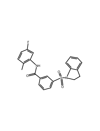 Cc1ccc(F)cc1NC(=O)c1cccc(S(=O)(=O)N2CCc3ccccc32)c1